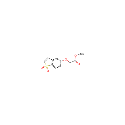 CC(C)(C)OC(=O)COc1ccc2c(c1)C=CS2(=O)=O